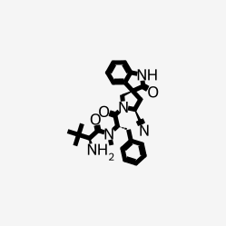 CN(C(=O)[C@@H](N)C(C)(C)C)[C@@H](Cc1ccccc1)C(=O)N1C[C@]2(C[C@H]1C#N)C(=O)Nc1ccccc12